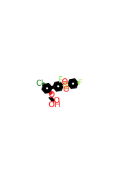 O=C(O)COc1ccc(Cl)cc1-c1ccc(S(=O)(=O)c2ccc(F)cc2)c(F)c1